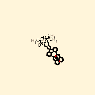 C=C(C)C(=O)OCCCC1(CCCOC(=O)C(=C)C)c2cccc(-c3ccc4ccccc4c3)c2-c2c(-c3ccc4ccccc4c3)cccc21